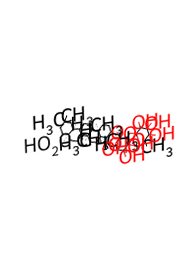 CC1O[C@@H](OC2[C@H](O[C@H]3CC[C@@]4(C)[C@@H](CC[C@]5(C)[C@@H]4CC=C4[C@@H]6CC(C)(C)CC[C@]6(C(=O)O)CC[C@]45C)[C@]3(C)CO)OC[C@H](O)[C@@H]2O)C(O)C(O)[C@H]1O